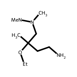 CCOC(C)(CCN)CN(C)NC